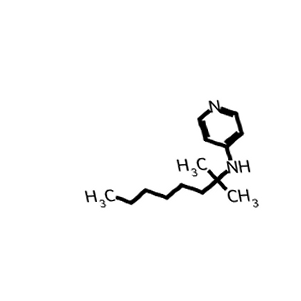 CCCCCCC(C)(C)Nc1ccncc1